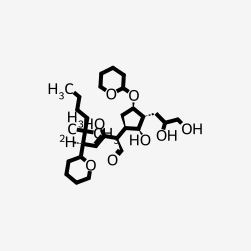 [2H][C@](C=C(O)[C@H](C=O)[C@H]1C[C@H](OC2CCCCO2)[C@H](CC(O)CO)[C@@H]1O)(C1CCCCO1)C(C)(C)CCCC